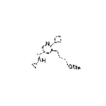 COCCCCc1cc(C(C)NC2CC2)cnc1C1CCC1